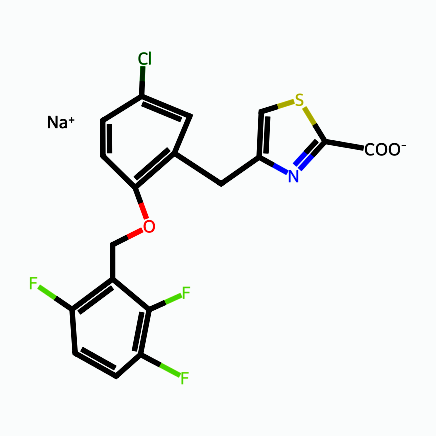 O=C([O-])c1nc(Cc2cc(Cl)ccc2OCc2c(F)ccc(F)c2F)cs1.[Na+]